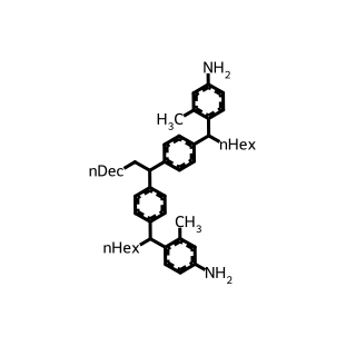 CCCCCCCCCCCC(c1ccc(C(CCCCCC)c2ccc(N)cc2C)cc1)c1ccc(C(CCCCCC)c2ccc(N)cc2C)cc1